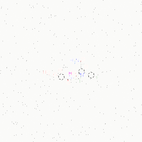 C[C@@H](O)COc1ccc(C(=O)NC[C@](O)(c2cc3c(c(-c4ccc(F)cc4)n2)OC[C@]3(CF)C(N)=O)C(F)(F)F)cc1OC1CC1